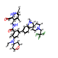 CCN(c1cc(-c2ccc3c(c2)N(C)CC32CCN(CC(F)(F)F)CC2)cc(C(=O)NCC2=C(C)C=C(C)NC2=C=O)c1C)C1CCOCC1